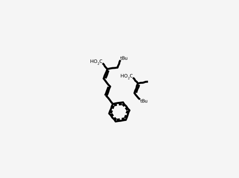 CC(=CC(C)(C)C)C(=O)O.CC(C)(C)CC(=CC=Cc1ccccc1)C(=O)O